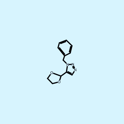 c1ccc(Cn2nncc2C2OCCO2)cc1